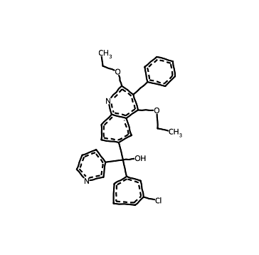 CCOc1nc2ccc(C(O)(c3cccnc3)c3cccc(Cl)c3)cc2c(OCC)c1-c1ccccc1